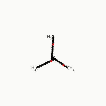 CCCCCCCCCCCCCCCCCCC[n+]1cc(CCCCCCCCCCCCCCC)cc(CCCCCCCCCCCCCCC)c1